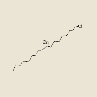 CCCCCCCCCCCCCCCCCCCl.[Zn]